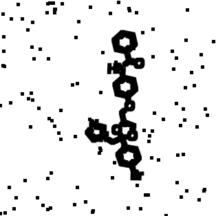 O=C(Nc1ccc(OCC2COC(Cn3ccnc3)(c3ccc(Br)cc3)O2)cc1)c1ccccc1